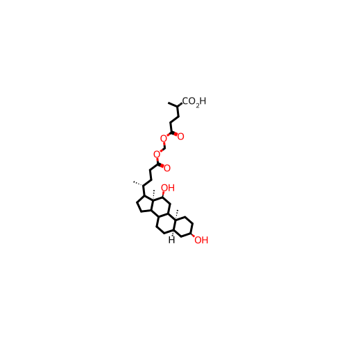 CC(CCC(=O)OCOC(=O)CC[C@@H](C)C1CCC2C3CC[C@@H]4C[C@H](O)CC[C@]4(C)C3C[C@H](O)[C@@]21C)C(=O)O